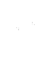 CC1=NC(CC(C)C)N=C1